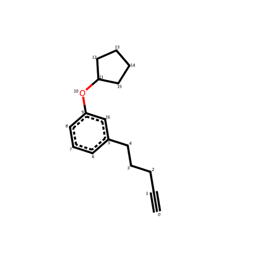 C#CCCCc1cccc(OC2CCCC2)c1